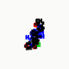 C=CC(=O)N1CCCC(Nc2ncnc(N)c2C(=N)c2ccc(C(=O)N3CCOCC3)c(Cl)c2)C1